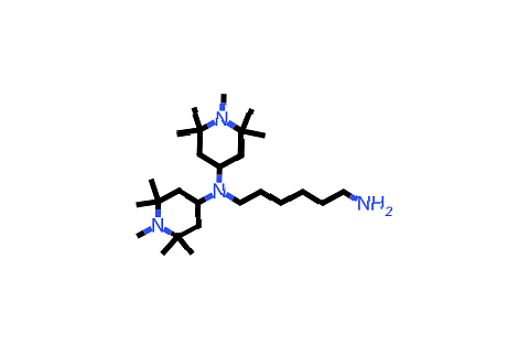 CN1C(C)(C)CC(N(CCCCCCN)C2CC(C)(C)N(C)C(C)(C)C2)CC1(C)C